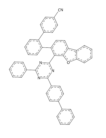 N#Cc1ccc(-c2ccccc2-c2ccc3c(oc4ccccc43)c2-c2nc(-c3ccccc3)nc(-c3ccc(-c4ccccc4)cc3)n2)cc1